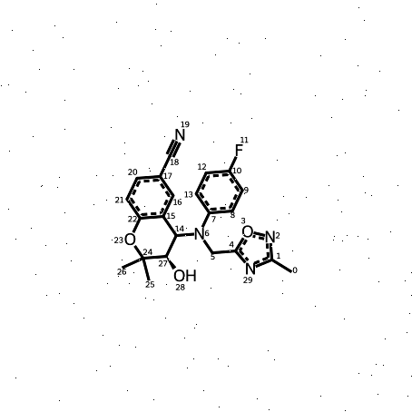 Cc1noc(CN(c2ccc(F)cc2)C2c3cc(C#N)ccc3OC(C)(C)[C@@H]2O)n1